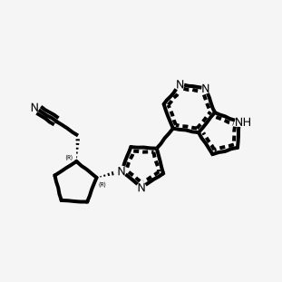 N#CC[C@H]1CCC[C@H]1n1cc(-c2cnnc3[nH]ccc23)cn1